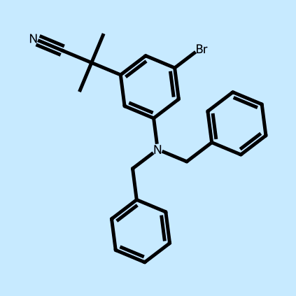 CC(C)(C#N)c1cc(Br)cc(N(Cc2ccccc2)Cc2ccccc2)c1